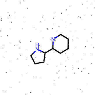 C1CCC(C2CCCN2)[N]C1